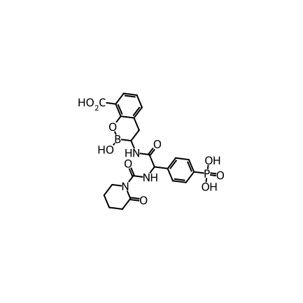 O=C(O)c1cccc2c1OB(O)C(NC(=O)C(NC(=O)N1CCCCC1=O)c1ccc(P(=O)(O)O)cc1)C2